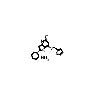 N[C@@H]1CCCC[C@H]1c1cc2nc(Cl)cc(NCc3cccs3)c2s1